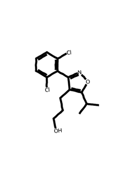 CC(C)c1onc(-c2c(Cl)cccc2Cl)c1CCCO